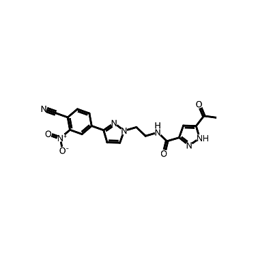 CC(=O)c1cc(C(=O)NCCn2ccc(-c3ccc(C#N)c([N+](=O)[O-])c3)n2)n[nH]1